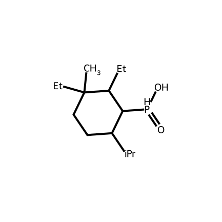 CCC1C([PH](=O)O)C(C(C)C)CCC1(C)CC